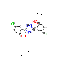 Oc1ccc(Cl)cc1-c1nnc(-c2cc(Cl)ccc2O)nn1